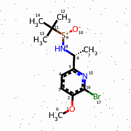 COc1ccc([C@@H](C)N[S@+]([O-])C(C)(C)C)nc1Br